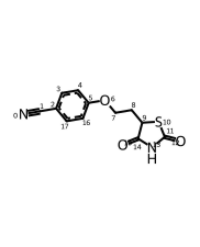 N#Cc1ccc(OCCC2SC(=O)NC2=O)cc1